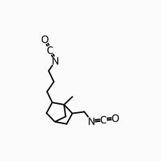 CC12CC(CC1CCCN=C=O)CC2CN=C=O